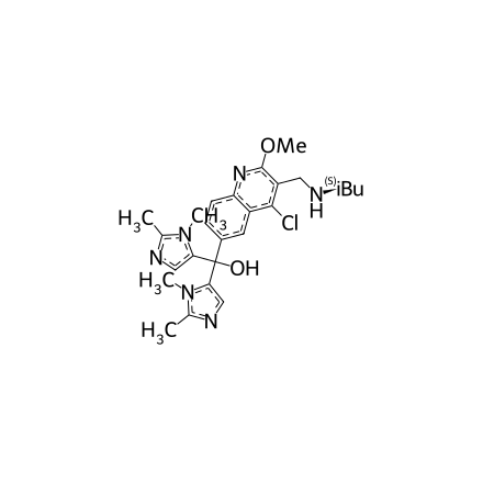 CC[C@H](C)NCc1c(OC)nc2ccc(C(O)(c3cnc(C)n3C)c3cnc(C)n3C)cc2c1Cl